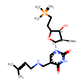 C=P(C)(C)CCC1O[C@@H](n2cc(CNCC=C(C)C)c(=O)[nH]c2=O)[C@H](OC)[C@@H]1O